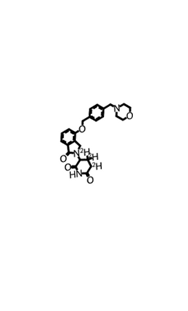 [2H]C1C(=O)NC(=O)C(N2Cc3c(OCc4ccc(CN5CCOCC5)cc4)cccc3C2=O)C1([2H])[2H]